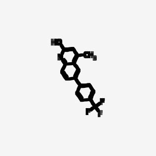 Cc1cc(O)nc2ccc(-c3ccc(C(F)(F)F)cc3)cc12